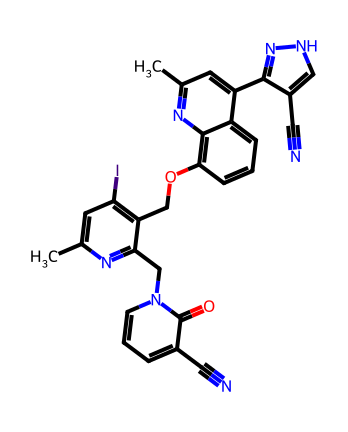 Cc1cc(I)c(COc2cccc3c(-c4n[nH]cc4C#N)cc(C)nc23)c(Cn2cccc(C#N)c2=O)n1